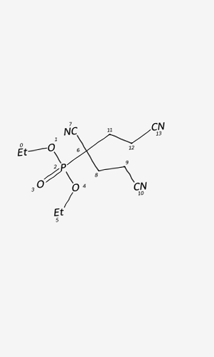 CCOP(=O)(OCC)C(C#N)(CCC#N)CCC#N